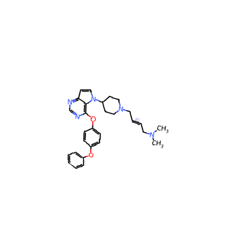 CN(C)C/C=C/CN1CCC(n2ccc3ncnc(Oc4ccc(Oc5ccccc5)cc4)c32)CC1